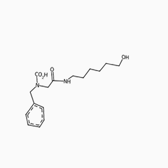 O=C(CN(Cc1ccccc1)C(=O)O)NCCCCCCO